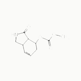 COC(=O)OC1CC=CC2CNC(=O)C21